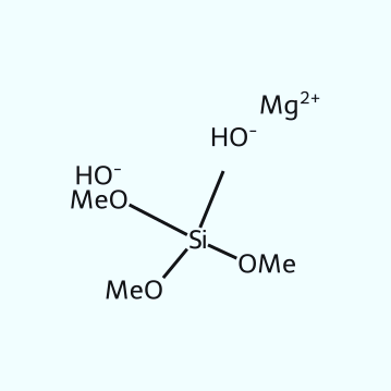 CO[Si](C)(OC)OC.[Mg+2].[OH-].[OH-]